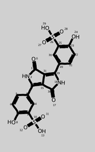 O=C1NC(c2ccc(O)c(S(=O)(=O)O)c2)=C2C(=O)NC(c3ccc(O)c(S(=O)(=O)O)c3)=C12